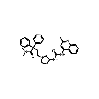 Cc1cc(NC(=O)NC2CCN(CCC(C(=O)N(C)C)(c3ccccc3)c3ccccc3)C2)c2ccccc2n1